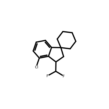 FC(F)C1CC2(CCCCC2)c2cccc(Cl)c21